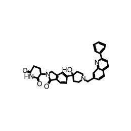 O=C1CCC(N2Cc3cc(C4(O)CCN(Cc5ccc6ccc(-c7ccccc7)nc6c5)CC4)ccc3C2=O)C(=O)N1